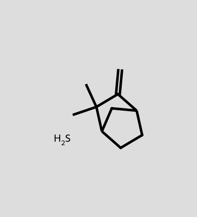 C=C1C2CCC(C2)C1(C)C.S